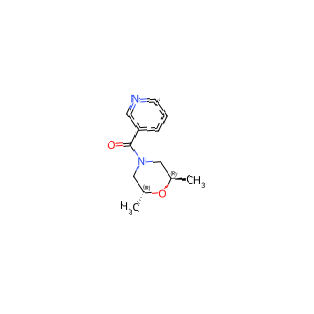 C[C@@H]1CN(C(=O)c2cc[c]nc2)C[C@@H](C)O1